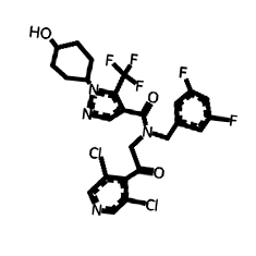 O=C(CN(Cc1cc(F)cc(F)c1)C(=O)c1cnn(C2CCC(O)CC2)c1C(F)(F)F)c1c(Cl)cncc1Cl